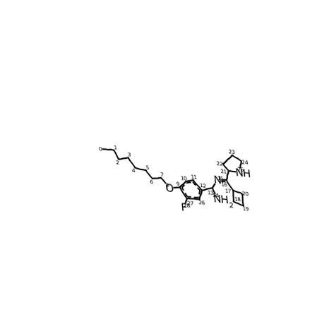 CCCCCCCCOc1ccc(C(N)/N=C(\C2CCC2)C2CCCN2)cc1F